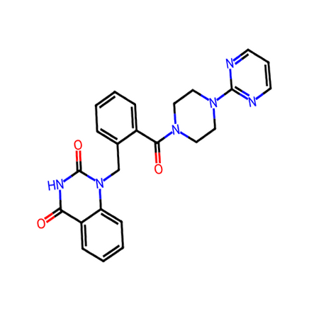 O=C(c1ccccc1Cn1c(=O)[nH]c(=O)c2ccccc21)N1CCN(c2ncccn2)CC1